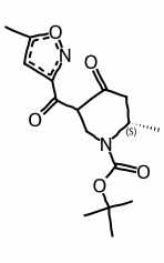 Cc1cc(C(=O)C2CN(C(=O)OC(C)(C)C)[C@@H](C)CC2=O)no1